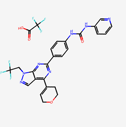 O=C(Nc1ccc(-c2nc(C3=CCOCC3)c3cnn(CC(F)(F)F)c3n2)cc1)Nc1cccnc1.O=C(O)C(F)(F)F